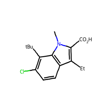 CCc1c(C(=O)O)n(C)c2c(C(C)(C)C)c(Cl)ccc12